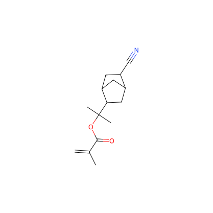 C=C(C)C(=O)OC(C)(C)C1CC2CC1CC2C#N